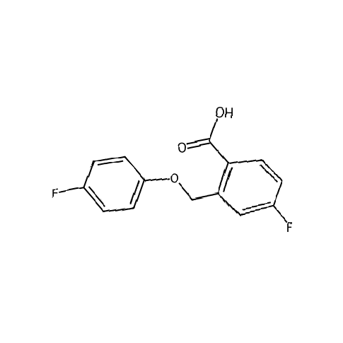 O=C(O)c1ccc(F)cc1COc1ccc(F)cc1